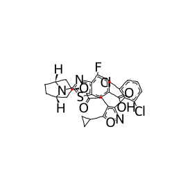 O=C(Cc1c(-c2c(Cl)cccc2Cl)noc1C1CC1)O[C@@H]1C[C@H]2CC[C@@H](C1)N2c1nc2c(F)cc(C(=O)O)cc2s1